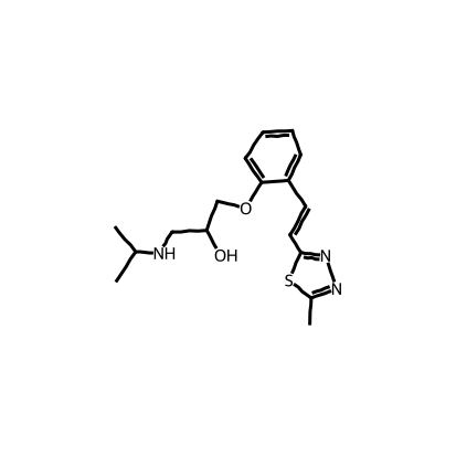 Cc1nnc(C=Cc2ccccc2OCC(O)CNC(C)C)s1